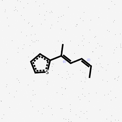 C/C=C\C=C(/C)c1cccs1